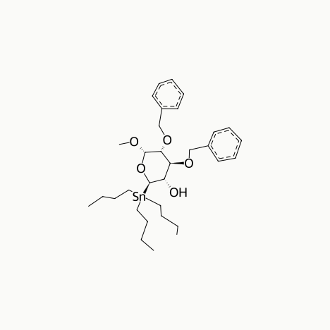 CCC[CH2][Sn]([CH2]CCC)([CH2]CCC)[C@H]1O[C@H](OC)[C@H](OCc2ccccc2)[C@@H](OCc2ccccc2)[C@@H]1O